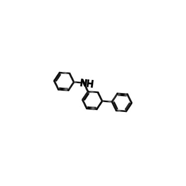 C1=CCC(NC2=CC=CC(c3ccccc3)C2)C=C1